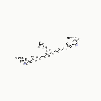 CCCCCC(F)(F)/C=C\COC(=O)CCCCCCCN(CCCCCCCC(=O)OC/C=C\C(F)(F)CCCCC)CCCCCN(C)C